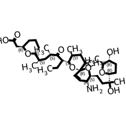 CCC(C(=O)[C@@H](C)C[C@H](C)[C@H]1CCC[C@H](CC(=O)O)O1)[C@H]1O[C@]2(C=C[C@@H](N)[C@H](CCC(C)(O)[C@H]3CC[C@@H](O)[C@H](C)O3)O2)[C@H](C)C[C@@H]1C